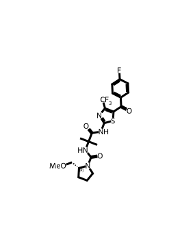 COC[C@H]1CCCN1C(=O)NC(C)(C)C(=O)Nc1nc(C(F)(F)F)c(C(=O)c2ccc(F)cc2)s1